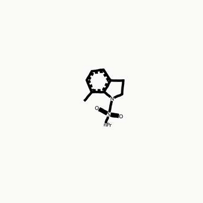 CCCS(=O)(=O)N1CCc2cccc(C)c21